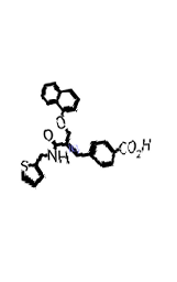 O=C(NCc1cccs1)/C(=C/c1ccc(C(=O)O)cc1)COc1cccc2ccccc12